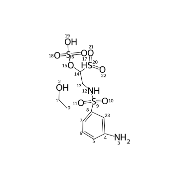 CCO.Nc1cccc(S(=O)(=O)NCC(OS(=O)(=O)O)[SH](=O)=O)c1